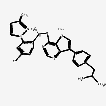 Cc1ccn(-c2cc(Cl)ccc2[C@@H](Oc2ncnc3c(-c4ccc(CC(N)C(=O)O)cc4)csc23)C(F)(F)F)n1.Cl